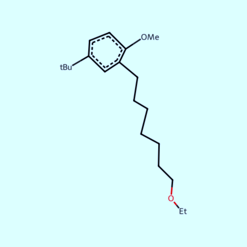 CCOCCCCCCCc1cc(C(C)(C)C)ccc1OC